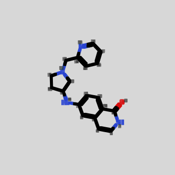 O=c1[nH]ccc2cc(N[C@H]3CCN(Cc4ccccn4)C3)ccc12